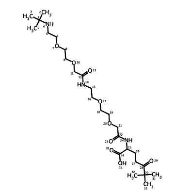 CC(C)(C)NCCOCCOCC(=O)NCCOCCOCC(=O)NC(CCC(=O)C(C)(C)C)C(=O)O